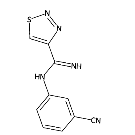 N#Cc1cccc(NC(=N)c2csnn2)c1